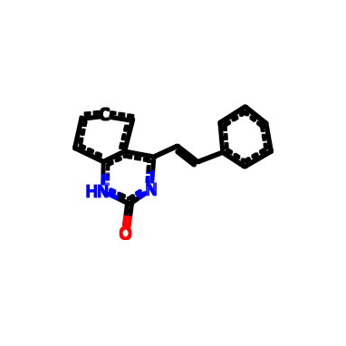 O=c1nc(C=Cc2ccccc2)c2ccccc2[nH]1